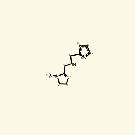 CN1CCN=C1CNCc1ncc[nH]1